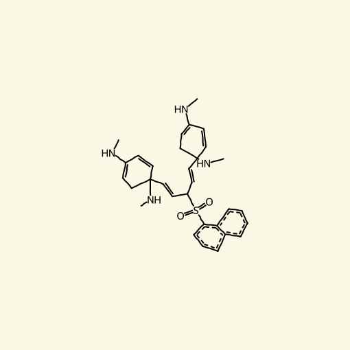 CNC1=CCC(C=CC(C=CC2(NC)C=CC(NC)=CC2)S(=O)(=O)c2cccc3ccccc23)(NC)C=C1